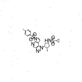 Cc1ccc(S(=O)(=O)n2ccc3c4c(cnc32)ncn4[C@H]2C[C@@H](NS(=O)(=O)C3CC3)C[C@H]2C)cc1